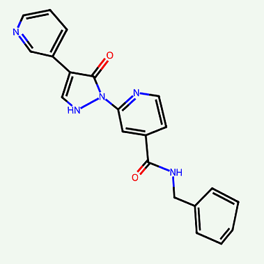 O=C(NCc1ccccc1)c1ccnc(-n2[nH]cc(-c3cccnc3)c2=O)c1